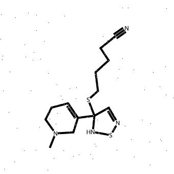 CN1CCC=C(C2(SCCCCC#N)C=NSN2)C1